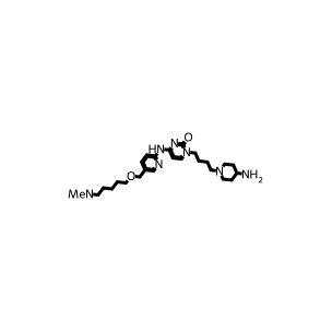 CNCCCCCOCc1ccc(Nc2ccn(CCCCN3CCC(N)CC3)c(=O)n2)nc1